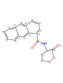 O=C(NC1CCCOC1=O)c1cccc2cc3ccccc3cc12